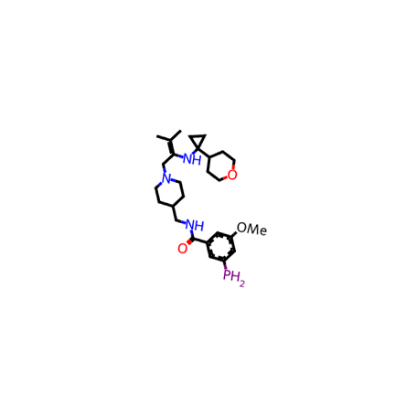 COc1cc(P)cc(C(=O)NCC2CCN(CC(NC3(C4CCOCC4)CC3)=C(C)C)CC2)c1